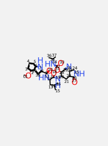 COc1cccc2[nH]c(C(=O)NC(CC(C)C)C(=O)NC(CC3CCNC3=O)C(C#N)OC(=O)NC(C)C)cc12